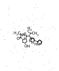 CNC(=O)[C@@H]1C[C@@H](O)CN1C(=O)[C@@H](C(C)C)n1cc(-c2ccc[nH]2)nn1